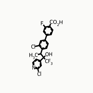 CC(c1ccc(-c2ccc(C(=O)O)c(F)c2)cc1Cl)C(O)(c1ccnc(Cl)c1)C(F)(F)F